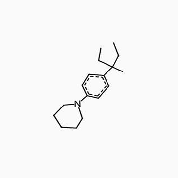 CCC(C)(CC)c1ccc(N2CCCCC2)cc1